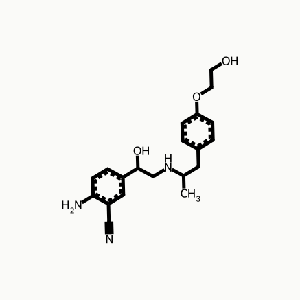 CC(Cc1ccc(OCCO)cc1)NCC(O)c1ccc(N)c(C#N)c1